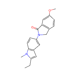 CCc1cc2cc(N3Cc4ccc(OC)cc4C3=O)ccc2n1C